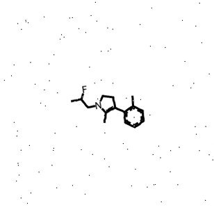 CC1=C(c2ccccc2C)CCN1CC(C)F